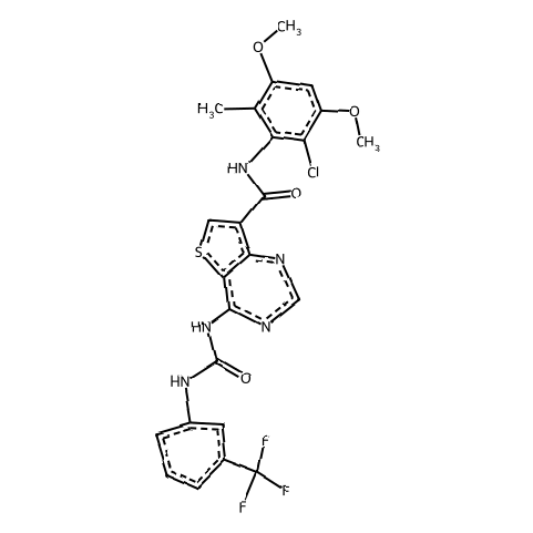 COc1cc(OC)c(Cl)c(NC(=O)c2csc3c(NC(=O)Nc4cccc(C(F)(F)F)c4)ncnc23)c1C